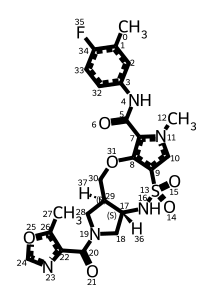 Cc1cc(NC(=O)c2c3c(cn2C)S(=O)(=O)N[C@@H]2CN(C(=O)c4ncoc4C)C[C@H]2CO3)ccc1F